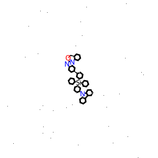 c1ccc([Si](c2ccccc2)(c2cccc(-c3ccc4nc5n(c4c3)-c3ccccc3CO5)c2)c2cccc(-n3c4ccccc4c4ccccc43)c2)cc1